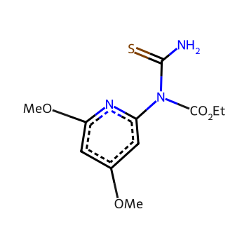 CCOC(=O)N(C(N)=S)c1cc(OC)cc(OC)n1